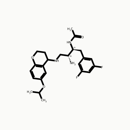 CC(=O)N[C@@H](Cc1cc(F)cc(F)c1)[C@H](N)CNC1CCOc2ccc(OC(C)C)cc21